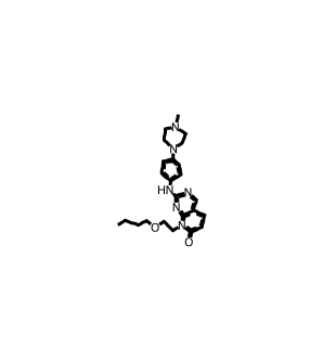 CCCCOCCn1c(=O)ccc2cnc(Nc3ccc(N4CCN(C)CC4)cc3)nc21